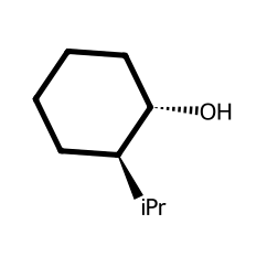 CC(C)[C@H]1CCCC[C@@H]1O